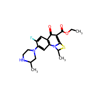 CCOC(=O)c1c2n(c3cc(N4CCNC(C)C4)c(F)cc3c1=O)C(C)S2